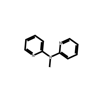 [CH2]N(c1ccccn1)c1ccccn1